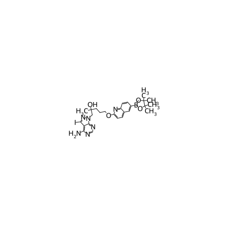 CC(O)(CCCOc1ccc2cc(B3OC(C)(C)C(C)(C)O3)ccc2n1)Cn1nc(I)c2c(N)ncnc21